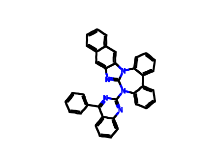 c1ccc(-c2nc(N3c4ccccc4-c4ccccc4-n4c3nc3cc5ccccc5cc34)nc3ccccc23)cc1